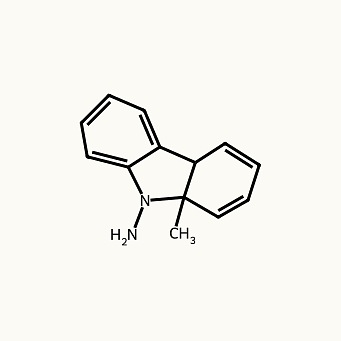 CC12C=CC=CC1c1ccccc1N2N